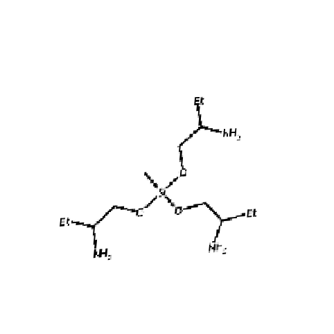 CCC(N)CO[Si](C)(OCC(N)CC)OCC(N)CC